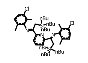 CCCC[Si](CCCC)(CCCC)CC(=Nc1c(C)ccc(Cl)c1C)c1cccc(C(C[Si](CCCC)(CCCC)CCCC)=Nc2c(C)ccc(Cl)c2C)n1